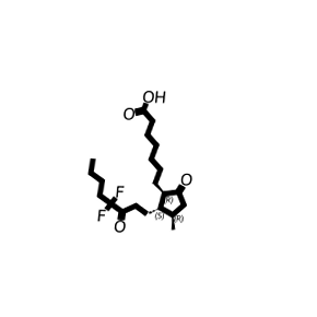 CCCCC(F)(F)C(=O)CC[C@H]1[C@H](C)CC(=O)[C@@H]1CCCCCCC(=O)O